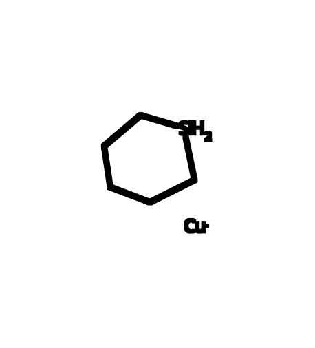 C1CC[SiH2]CC1.[Cu]